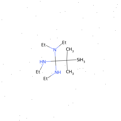 CCNC(NCC)(N(CC)CC)C(C)(C)[SiH3]